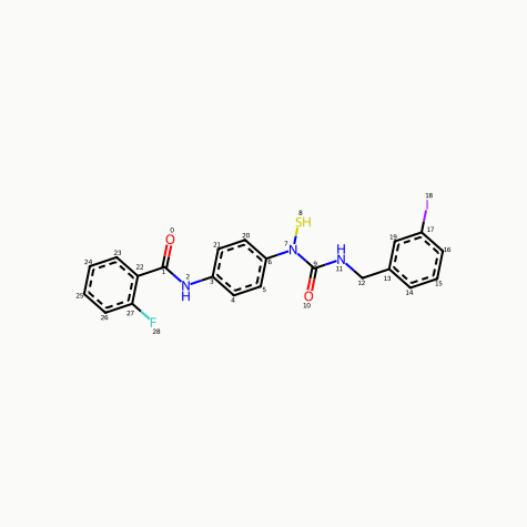 O=C(Nc1ccc(N(S)C(=O)NCc2cccc(I)c2)cc1)c1ccccc1F